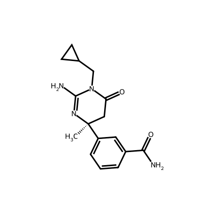 C[C@@]1(c2cccc(C(N)=O)c2)CC(=O)N(CC2CC2)C(N)=N1